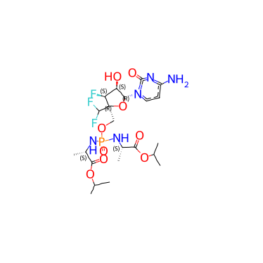 CC(C)OC(=O)[C@H](C)NP(=O)(N[C@@H](C)C(=O)OC(C)C)OC[C@@]1(C(F)F)O[C@@H](n2ccc(N)nc2=O)[C@H](O)[C@@H]1F